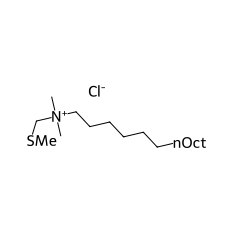 CCCCCCCCCCCCCC[N+](C)(C)CSC.[Cl-]